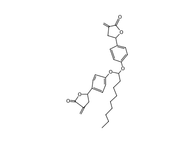 C=C1CC(c2ccc(OC(CCCCCCCC)Oc3ccc(C4CC(=C)C(=O)O4)cc3)cc2)OC1=O